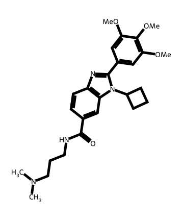 COc1cc(-c2nc3ccc(C(=O)NCCCN(C)C)cc3n2C2CCC2)cc(OC)c1OC